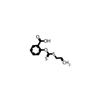 C=CCSC(=S)Oc1ccccc1C(=O)O